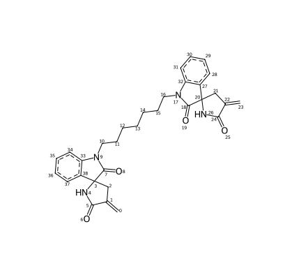 C=C1CC2(NC1=O)C(=O)N(CCCCCCCN1C(=O)C3(CC(=C)C(=O)N3)c3ccccc31)c1ccccc12